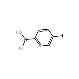 ON(O)c1ccc(I)cc1